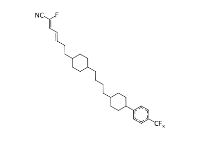 N#CC(F)=CC=CCCC1CCC(CCCCC2CCC(c3ccc(C(F)(F)F)cc3)CC2)CC1